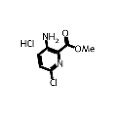 COC(=O)c1nc(Cl)ccc1N.Cl